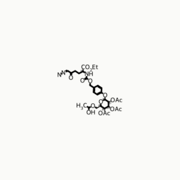 CCOC(=O)[C@H](CCC(=O)C=[N+]=[N-])NC(=O)OCc1ccc(O[C@@H]2O[C@H](COC(C)O)[C@@H](OC(C)=O)[C@H](OC(C)=O)[C@H]2OC(C)=O)cc1